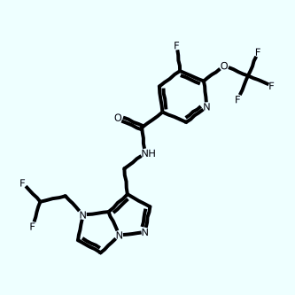 O=C(NCc1cnn2ccn(CC(F)F)c12)c1cnc(OC(F)(F)F)c(F)c1